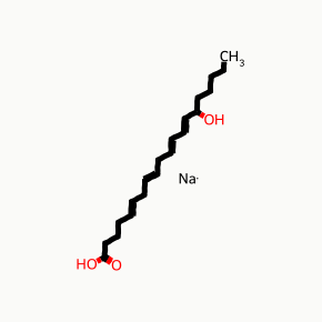 CCCCCC(O)C=CC=CCC=CCC=CCCCC(=O)O.[Na]